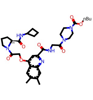 CCCCOC(=O)N1CCN(C(=O)CNC(=O)c2cc(OCC(=O)N3CCC[C@H]3C(=O)NC3CCC3)c3cc(C)c(C)cc3n2)CC1